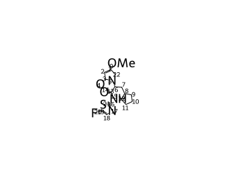 COC1=CC(=O)N(C(CC2CCCC2)C(=O)Nc2ncc(F)s2)C1